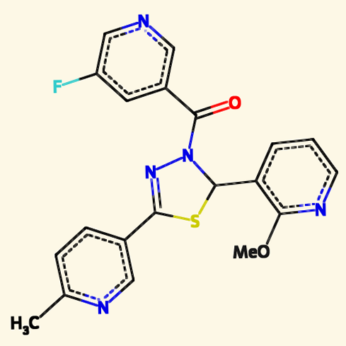 COc1ncccc1C1SC(c2ccc(C)nc2)=NN1C(=O)c1cncc(F)c1